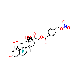 C[C@]12C=CC(=O)C=C1CC[C@H]1[C@@H]3CC[C@](O)(C(=O)COC(=O)c4ccc(CO[N+](=O)[O-])cc4)[C@@]3(C)CC(O)[C@@]12F